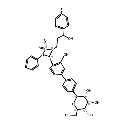 O=S1(=O)[C@@H](CCC(O)c2ccc(F)cc2)[C@@H](c2ccc(-c3ccc([C@@H]4O[C@H](CO)[C@@H](O)[C@H](O)[C@H]4O)cc3)cc2O)N1c1ccccc1